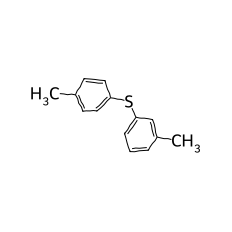 Cc1ccc(Sc2cccc(C)c2)cc1